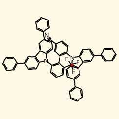 N#Cc1ccc(-n2c3ccc(-c4ccccc4)cc3c3cc(-c4ccccc4)ccc32)c(-c2c(-n3c4ccc(-c5ccccc5)cc4c4cc(-c5ccccc5)ccc43)cccc2C(F)(F)F)c1